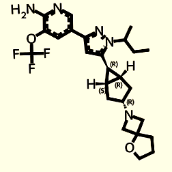 CCC(C)n1nc(-c2cnc(N)c(OC(F)(F)F)c2)cc1[C@H]1[C@@H]2C[C@H](N3CC4(CCCO4)C3)C[C@@H]21